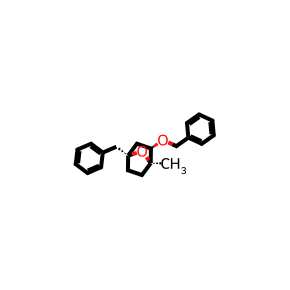 C[C@@]12CC[C@@](Cc3ccccc3)(C[C@H]1OCc1ccccc1)O2